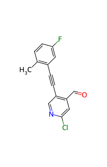 Cc1ccc(F)cc1C#Cc1cnc(Cl)cc1C=O